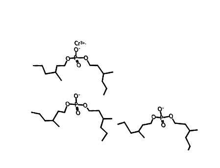 CCCC(C)CCOP(=O)([O-])OCCC(C)CCC.CCCC(C)CCOP(=O)([O-])OCCC(C)CCC.CCCC(C)CCOP(=O)([O-])OCCC(C)CCC.[Cr+3]